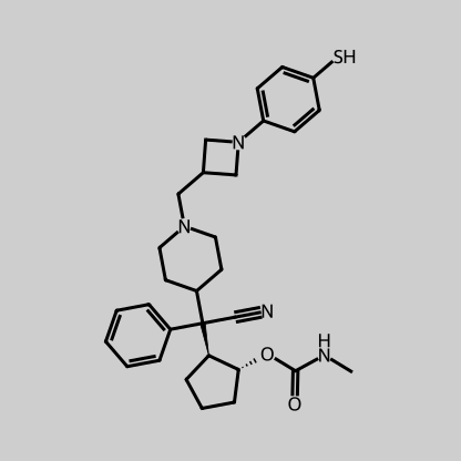 CNC(=O)O[C@@H]1CCC[C@H]1C(C#N)(c1ccccc1)C1CCN(CC2CN(c3ccc(S)cc3)C2)CC1